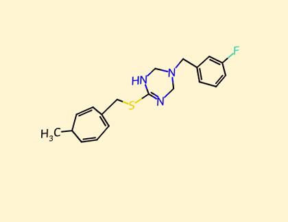 CC1C=CC=C(CSC2=NCN(Cc3cccc(F)c3)CN2)C=C1